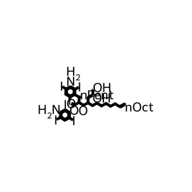 CCCCCCCCC=CCCCCCCC(CC(O)CO)C(=O)C(C(=O)Oc1c(I)cc(I)c(N)c1I)C(CCCCC)c1c(I)cc(I)c(N)c1I